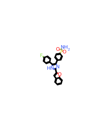 NS(=O)(=O)c1ccc(-c2nc(-c3cc4ccccc4o3)[nH]c2-c2ccc(F)cc2)cc1